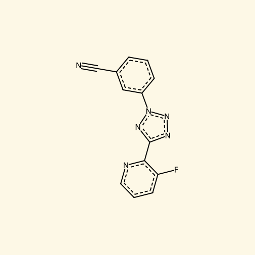 N#Cc1cccc(-n2nnc(-c3ncccc3F)n2)c1